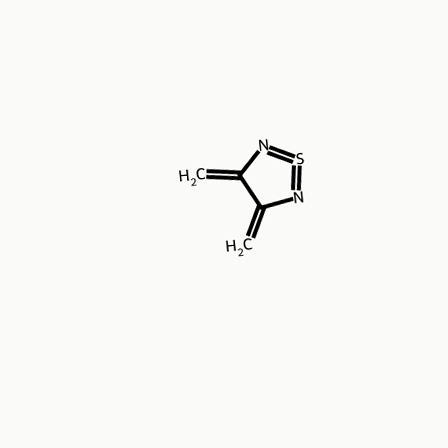 C=C1N=S=NC1=C